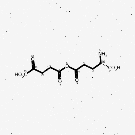 N[C@@H](CCC(=O)OC(=O)CCC(=O)C(=O)O)C(=O)O